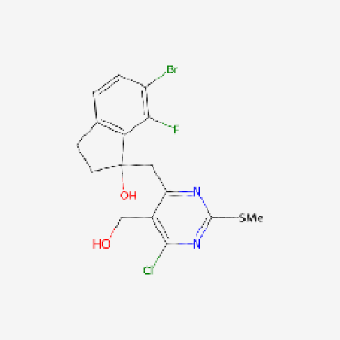 CSc1nc(Cl)c(CO)c(CC2(O)CCc3ccc(Br)c(F)c32)n1